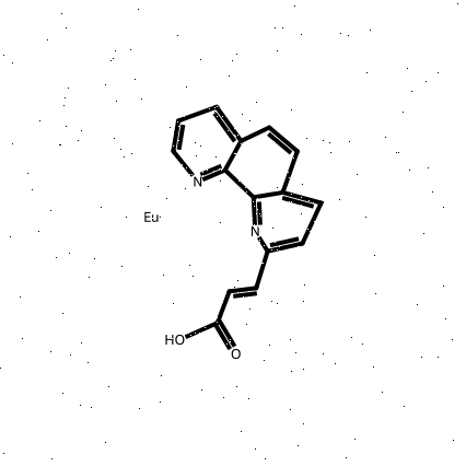 O=C(O)C=Cc1ccc2ccc3cccnc3c2n1.[Eu]